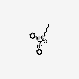 CCCCCCOC(=O)C(N=Nc1ccccc1)=NNc1ccccc1